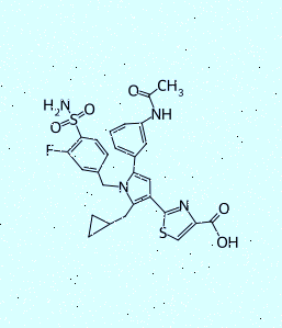 CC(=O)Nc1cccc(-c2cc(-c3nc(C(=O)O)cs3)c(CC3CC3)n2Cc2ccc(S(N)(=O)=O)c(F)c2)c1